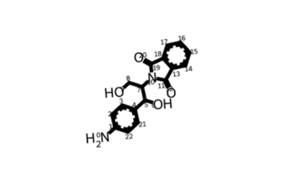 Nc1ccc(C(O)C(CO)N2C(=O)c3ccccc3C2=O)cc1